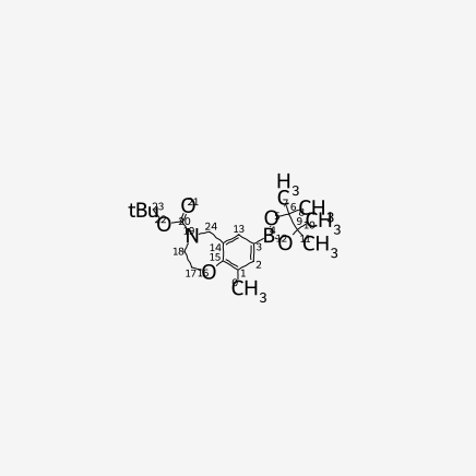 Cc1cc(B2OC(C)(C)C(C)(C)O2)cc2c1OCCN(C(=O)OC(C)(C)C)C2